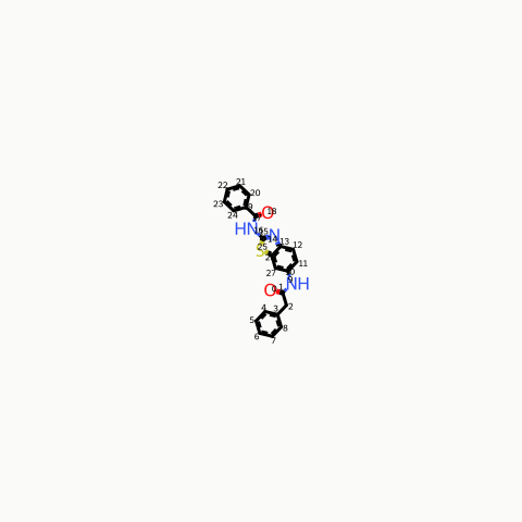 O=C(Cc1ccccc1)Nc1ccc2nc(NC(=O)c3ccccc3)sc2c1